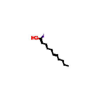 CCCCC=CCCCC=C(O)I